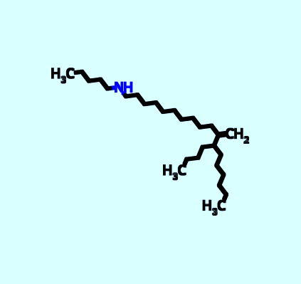 C=C(CCCCCCCCCCNCCCCC)C(CCCC)CCCCCC